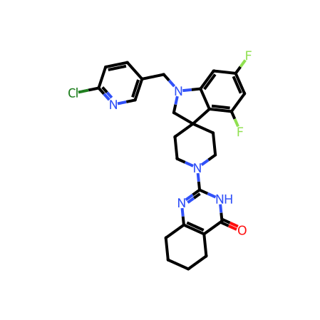 O=c1[nH]c(N2CCC3(CC2)CN(Cc2ccc(Cl)nc2)c2cc(F)cc(F)c23)nc2c1CCCC2